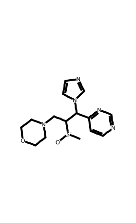 C[S+]([O-])C(CN1CCOCC1)C(c1ccncn1)n1ccnc1